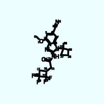 COc1cc(C#N)cc2c1nc(NC(=O)CC1CC(F)(F)C1(F)F)n2C1(C)CCC1